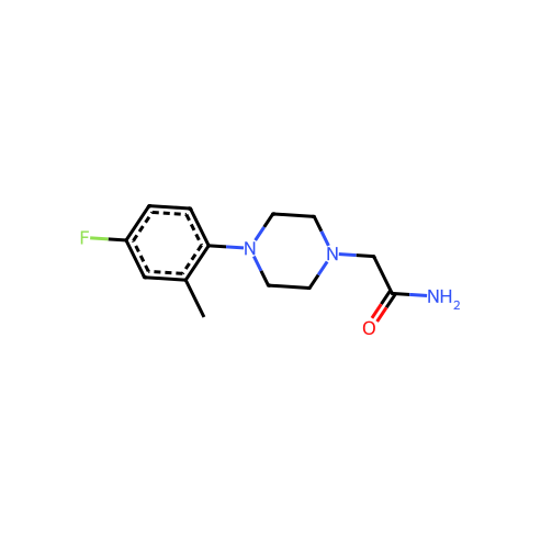 Cc1cc(F)ccc1N1CCN(CC(N)=O)CC1